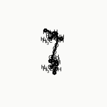 CC[C@H](NC)C(=O)N[C@@H]1C(=O)N2[C@@H](CC[C@@H]1CCNCc1ccccc1)CC[C@H]2C(=O)N[C@H](C(=O)NCCCOCCOCCOCCCNC(=O)[C@@H](NC(=O)[C@@H]1CC[C@@H]2CC[C@H](CCNCc3ccccc3)[C@H](NC(=O)[C@H](CC)NC)C(=O)N21)c1ccccc1)c1ccccc1